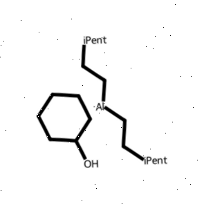 CCCC(C)C[CH2][Al][CH2]CC(C)CCC.OC1CCCCC1